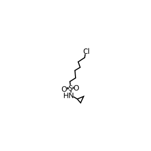 O=S(=O)(CCCCCCCl)NC1CC1